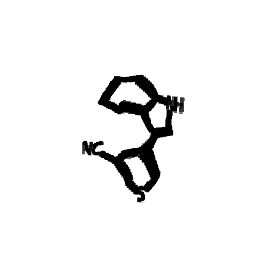 N#Cc1cscc1-c1c[nH]c2ccccc12